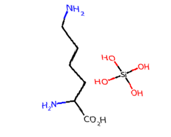 NCCCCC(N)C(=O)O.O[Si](O)(O)O